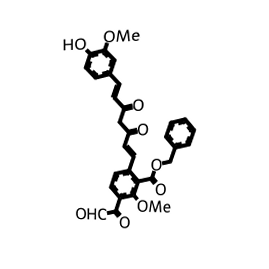 COc1cc(C=CC(=O)CC(=O)C=Cc2ccc(C(=O)C=O)c(OC)c2C(=O)OCc2ccccc2)ccc1O